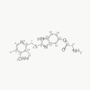 COc1c(C)cnc(CSc2nc3cc(OC(=O)CN)ccc3[nH]2)c1C